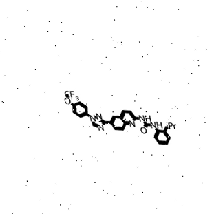 CC(C)c1ccccc1NC(=O)Nc1ccc2cc(-c3ncn(-c4ccc(OC(F)(F)F)cc4)n3)ccc2n1